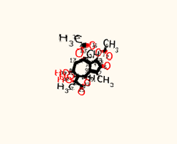 CC(=O)O[C@@H]1C(=O)C(C)=C2C1[C@@](C)(OC(C)=O)C[C@H](O)[C@@]1(O)[C@H]2OC(=O)[C@@]1(C)O